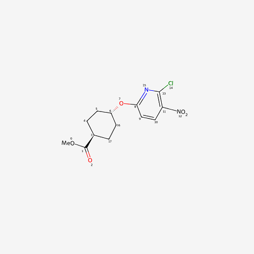 COC(=O)[C@H]1CC[C@H](Oc2ccc([N+](=O)[O-])c(Cl)n2)CC1